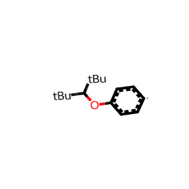 CC(C)(C)C(Oc1cc[c]cc1)C(C)(C)C